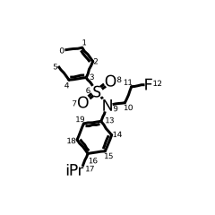 C/C=C\C(=C/C)S(=O)(=O)N(CCF)c1ccc(C(C)C)cc1